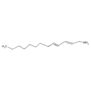 CCCCCCCC/C=C/C=C/CN